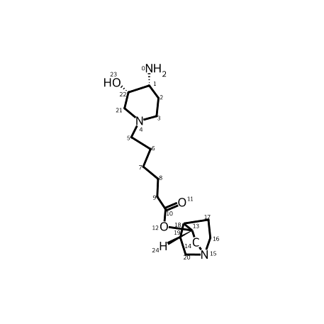 N[C@@H]1CCN(CCCCCC(=O)O[C@H]2CN3CCC2CC3)C[C@@H]1O